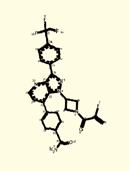 C=C(F)C(=O)N1CC(n2nc(-c3ccc(C(F)(F)F)cc3)c3nccc(C4=CCC(C(N)=O)CC4)c32)C1